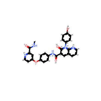 CNC(=O)c1cc(Oc2ccc(NC(=O)c3cc4cccnc4n(-c4ccc(Br)cc4)c3=O)cc2)ccn1